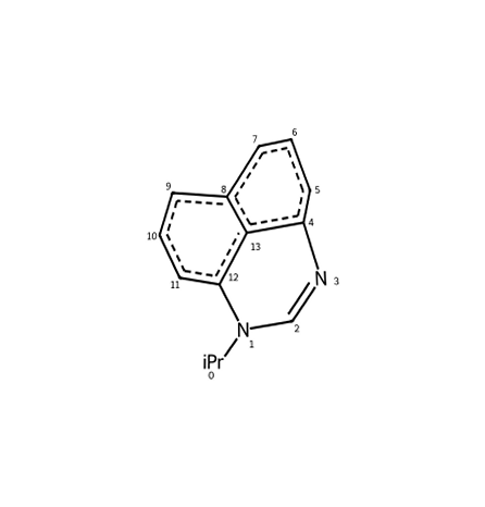 CC(C)N1C=Nc2cccc3cccc1c23